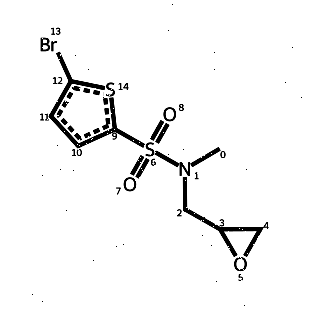 CN(CC1CO1)S(=O)(=O)c1ccc(Br)s1